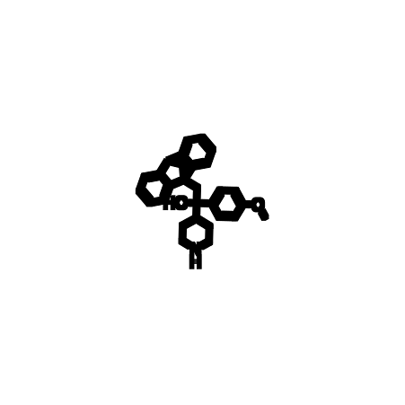 COc1ccc(C(O)(CC23CC(c4ccccc42)c2ccccc23)C2CCNCC2)cc1